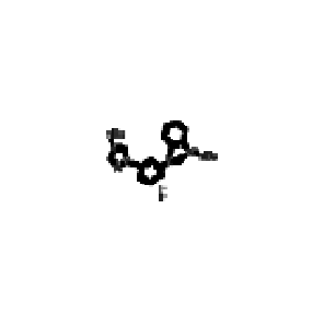 CCCC[n+]1cnn(-c2cccc(-n3c[n+](CCCC)c4ccccc43)c2)c1.[I-].[I-]